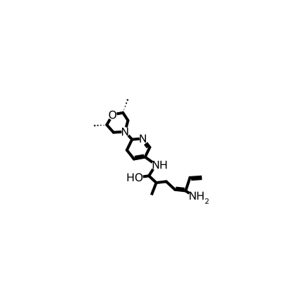 C=C/C(N)=C\CC(C)C(O)NC1=CCC(N2C[C@@H](C)O[C@@H](C)C2)N=C1